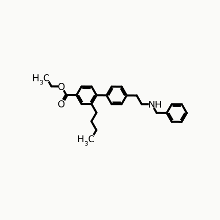 CCCCc1cc(C(=O)OCC)ccc1-c1ccc(CCNCc2ccccc2)cc1